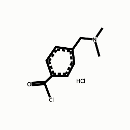 CN(C)Cc1ccc(C(=O)Cl)cc1.Cl